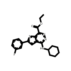 CCOC(=O)c1nnc(NC2CCCCC2)c2cc(-c3cccc(F)c3)sc12